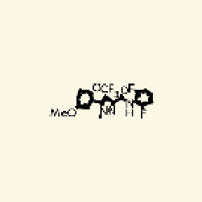 COc1ccc(OC(F)(F)F)c(-c2cc(C(=O)Nc3c(F)cccc3F)nn2C)c1